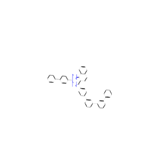 c1ccc(-c2ccc(-c3nc(-c4ccc(-c5cccc(-c6cccc(-c7ccccc7)c6)c5)cc4)c4ccc5ccccc5c4n3)cc2)cc1